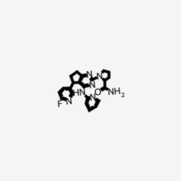 NC(=O)C1CCCN1c1nc2c(c(Nc3ccccn3)n1)C(c1ccc(F)nc1)CC2